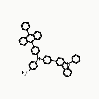 FC(F)(F)c1ccc(N(c2ccc(-c3ccc4c(c3)c3ccccc3n4-c3ccccc3)cc2)c2ccc(-c3c4ccccc4c(-c4ccccc4)c4ccccc34)cc2)cc1